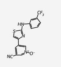 N#Cc1cc(-c2csc(Nc3cccc(C(F)(F)F)c3)n2)c[n+]([O-])c1